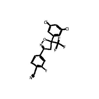 N#Cc1ccc(C2=NOC(c3cc(Cl)cc(Cl)c3)(C(F)(F)F)C2)cc1F